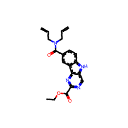 C=CCN(CC=C)C(=O)c1ccc2[nH]c3cnc(C(=O)OCC)nc3c2c1